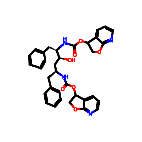 O=C(N[C@@H](Cc1ccccc1)C[C@H](O)[C@H](Cc1ccccc1)NC(=O)OC1COc2ncccc21)OC1COc2ncccc21